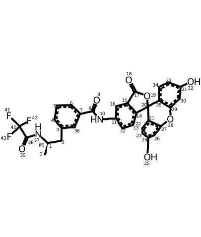 C[C@H](Cc1cccc(C(=O)Nc2ccc3c(c2)C(=O)OC32c3ccc(O)cc3Oc3cc(O)ccc32)c1)NC(=O)C(F)(F)F